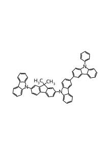 CC1(C)c2cc(-n3c4ccccc4c4ccccc43)ccc2-c2ccc(-n3c4ccccc4c4cc(-c5ccc6c(c5)c5ccccc5n6-c5ccccc5)ccc43)cc21